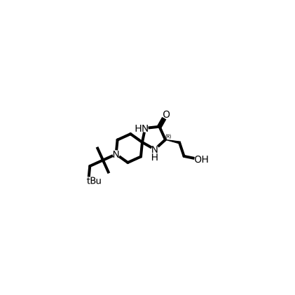 CC(C)(C)CC(C)(C)N1CCC2(CC1)NC(=O)[C@@H](CCO)N2